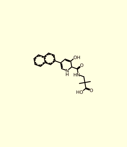 CC(C)(CNC(=O)C1NC=C(c2ccc3ccccc3c2)C=C1O)C(=O)O